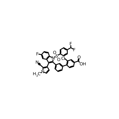 Cn1ccc(-c2c(-c3cccc(-c4ccc(C(=O)O)cc4Cl)c3)n(S(=O)(=O)c3ccc(C(F)F)cc3)c3ccc(F)cc23)c1C#N